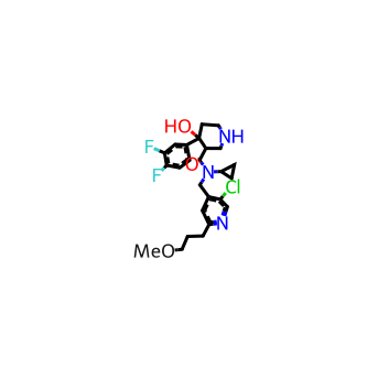 COCCCc1cc(CN(C(=O)C2CNCCC2(O)c2ccc(F)c(F)c2)C2CC2)c(Cl)cn1